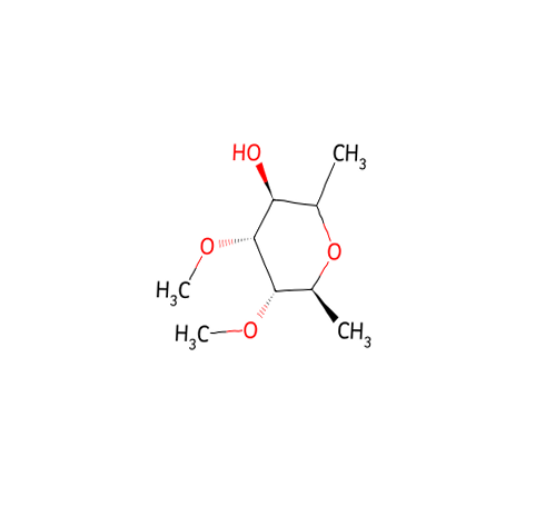 CO[C@@H]1[C@H](OC)[C@@H](O)C(C)O[C@H]1C